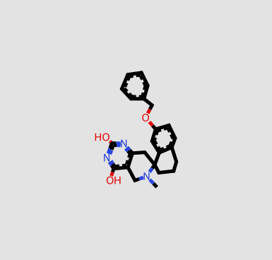 CN1Cc2c(O)nc(O)nc2CC12CCCc1ccc(OCc3ccccc3)cc12